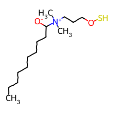 CCCCCCCCCC([O-])[N+](C)(C)CCCOS